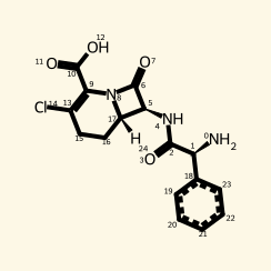 N[C@H](C(=O)N[C@@H]1C(=O)N2C(C(=O)O)=C(Cl)CC[C@@H]12)c1ccccc1